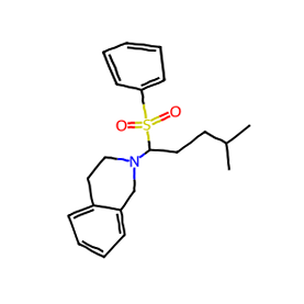 CC(C)CCC(N1CCc2ccccc2C1)S(=O)(=O)c1ccccc1